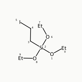 CCO[Si](CCI)(OCC)OCC